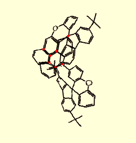 CC(C)(C)c1ccc2c(c1)C1(c3ccccc3Oc3ccc(C4CC=CC=C4N(c4ccc5c(c4)C4(c6ccccc6O5)c5cc(C(C)(C)C)ccc5-c5ccc(C(C)(C)C)cc54)c4ccccc4-c4ccccc4)cc31)c1cc(C(C)(C)C)ccc1-2